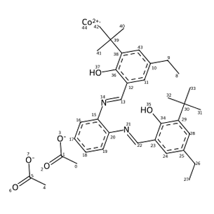 CC(=O)[O-].CC(=O)[O-].CCc1cc(C=Nc2ccccc2N=Cc2cc(CC)cc(C(C)(C)C)c2O)c(O)c(C(C)(C)C)c1.[Co+2]